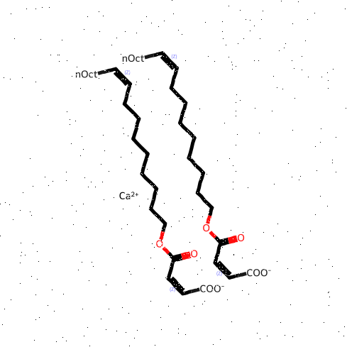 CCCCCCCC/C=C\CCCCCCCCOC(=O)/C=C\C(=O)[O-].CCCCCCCC/C=C\CCCCCCCCOC(=O)/C=C\C(=O)[O-].[Ca+2]